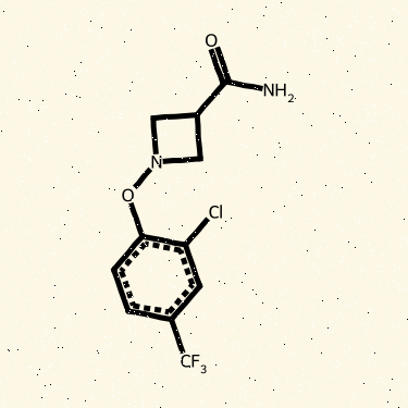 NC(=O)C1CN(Oc2ccc(C(F)(F)F)cc2Cl)C1